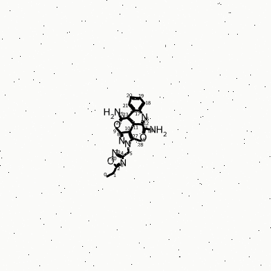 CCc1nc(Cn2nc(C)c(-c3c(C(N)=O)nc4ccccc4c3C(N)=O)c2C)no1